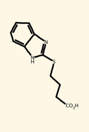 O=C(O)CCCSc1nc2ccccc2[nH]1